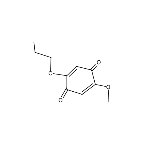 CCCOC1=CC(=O)C(OC)=CC1=O